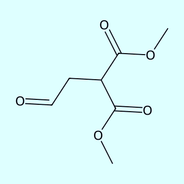 COC(=O)C(CC=O)C(=O)OC